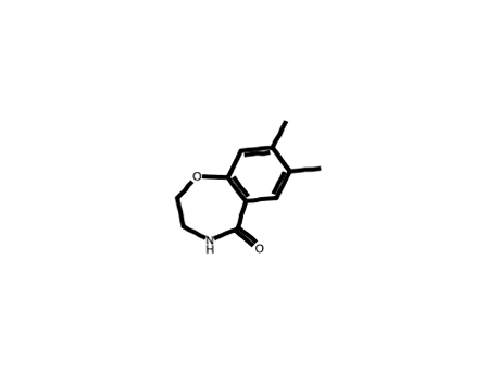 Cc1cc2c(cc1C)C(=O)NCCO2